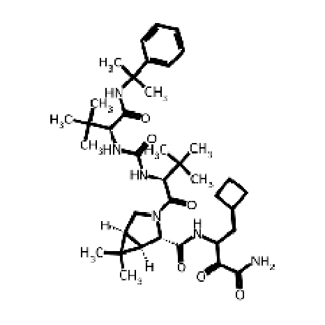 CC(C)(NC(=O)[C@@H](NC(=O)N[C@H](C(=O)N1C[C@H]2[C@@H]([C@H]1C(=O)NC(CC1CCC1)C(=O)C(N)=O)C2(C)C)C(C)(C)C)C(C)(C)C)c1ccccc1